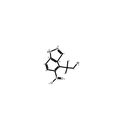 CC(C)(CBr)c1c([N+](=O)[O-])ccc2[nH]ncc12